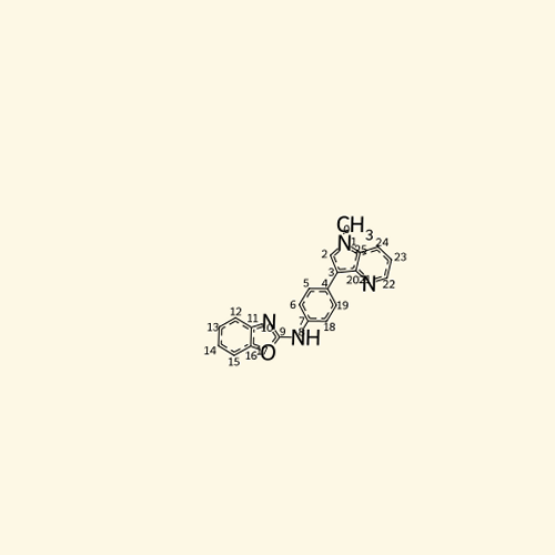 Cn1cc(-c2ccc(Nc3nc4ccccc4o3)cc2)c2ncccc21